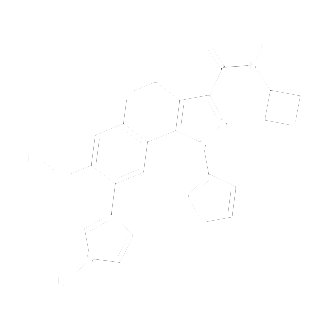 COc1cc2c(cc1-c1ccn(C)c1)-c1c(c(C(=O)N(C)C3COC3)nn1-c1ccsc1)CO2